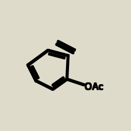 C=C.CC(=O)Oc1ccccc1